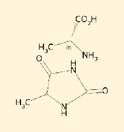 CC1NC(=O)NC1=O.C[C@@H](N)C(=O)O